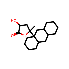 CC1(C23CCCCC2CC2CCCCC2C3)CC(O)C(=O)O1